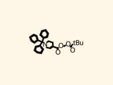 CC(C)(C)C(=O)OCOC(=O)C1=CCN(C(c2ccccc2)(c2ccccc2)c2ccccc2)CC1